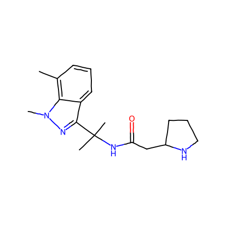 Cc1cccc2c(C(C)(C)NC(=O)CC3CCCN3)nn(C)c12